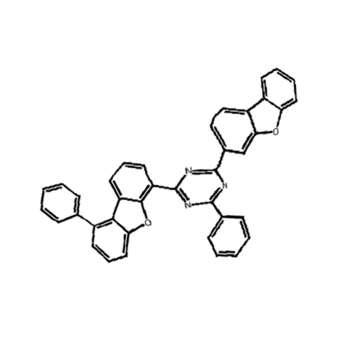 c1ccc(-c2nc(-c3ccc4c(c3)oc3ccccc34)nc(-c3cccc4c3oc3cccc(-c5ccccc5)c34)n2)cc1